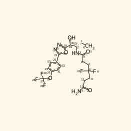 CC[C@H](NC(=O)[CH]CC(F)(F)CCC(N)=O)[C@H](O)c1nnc(-c2ccc(OC(F)(F)F)cc2)o1